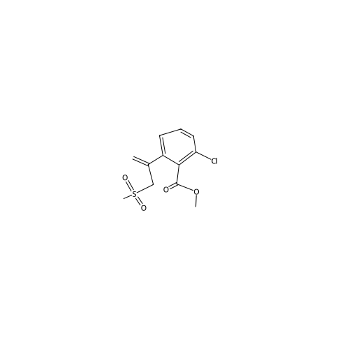 C=C(CS(C)(=O)=O)c1cccc(Cl)c1C(=O)OC